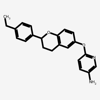 CCc1ccc(C2CCc3cc(Oc4ccc(N)cn4)ccc3O2)cc1